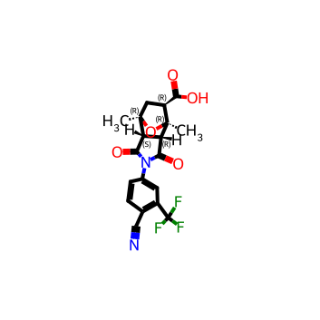 C[C@]12O[C@](C)(C[C@H]1C(=O)O)[C@H]1C(=O)N(c3ccc(C#N)c(C(F)(F)F)c3)C(=O)[C@H]12